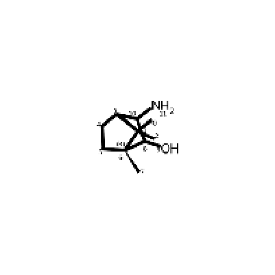 CC1(C)C2CC[C@@]1(C)C(O)C2N